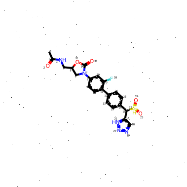 CC(=O)NCC1CN(c2ccc(-c3ccc(C(c4cnn[nH]4)[SH](=O)=O)cc3)c(F)c2)C(=O)O1